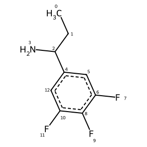 CCC(N)c1cc(F)c(F)c(F)c1